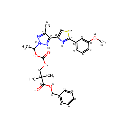 CC(OC(=O)OCC(C)(C)C(=O)OCc1ccccc1)n1nc(C#N)c(-c2csc(-c3cccc(OC(F)(F)F)c3)n2)n1